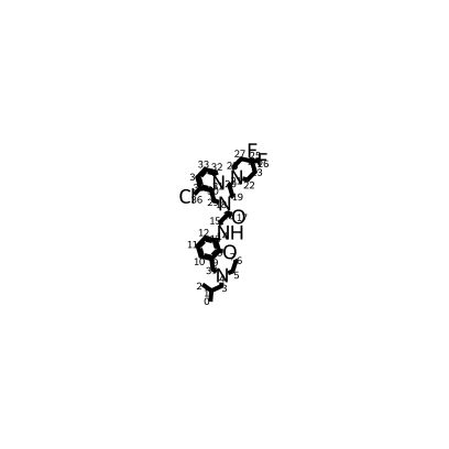 CC(C)CN1CCOc2c(cccc2NCC(=O)N(CCN2CCC(F)(F)CC2)Cc2ncccc2Cl)C1